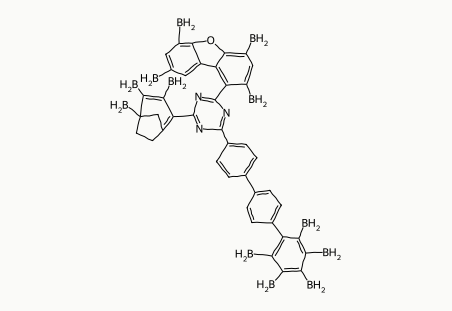 BC1=C(B)C2(B)CCC(=C1c1nc(-c3ccc(-c4ccc(-c5c(B)c(B)c(B)c(B)c5B)cc4)cc3)nc(-c3c(B)cc(B)c4oc5c(B)cc(B)cc5c34)n1)C2